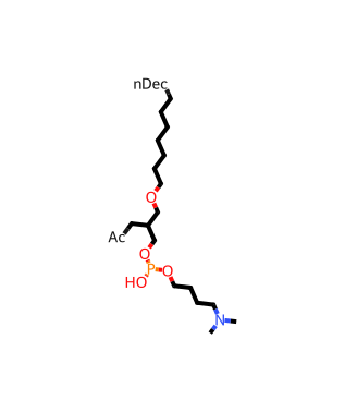 CCCCCCCCCCCCCCCCCOCC(COP(O)OCCCCN(C)C)CC(C)=O